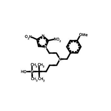 COc1ccc(CN(CCCC(C)(C)[Si](C)(C)O)CCn2cc([N+](=O)[O-])nc2[N+](=O)[O-])cc1